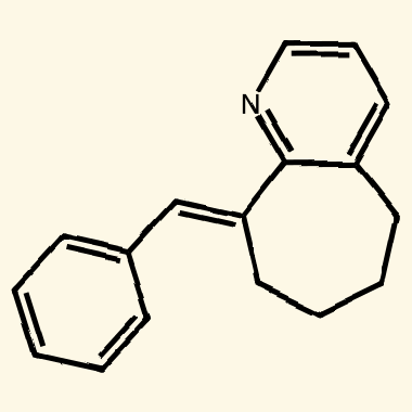 C(=C1CCCCc2cccnc21)c1ccccc1